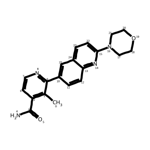 Cc1c(C(N)=O)ccnc1-c1ccc2nc(N3CCOCC3)ccc2c1